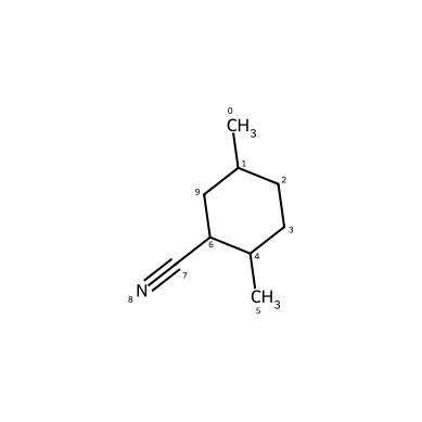 CC1CCC(C)C(C#N)C1